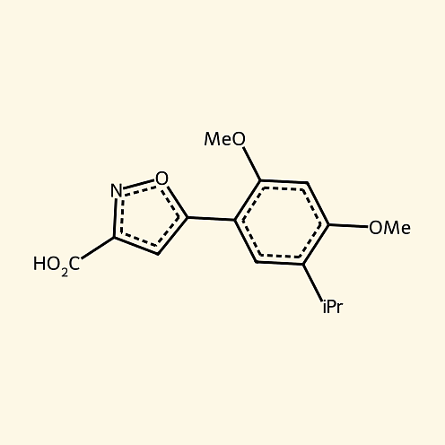 COc1cc(OC)c(C(C)C)cc1-c1cc(C(=O)O)no1